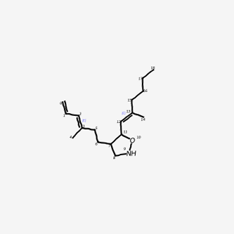 C=C/C=C(\C)CCC1CNOC1/C=C(\C)CCCC